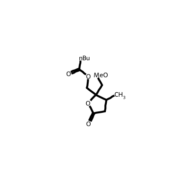 CCCCC(=O)OCC1(COC)OC(=O)CC1C